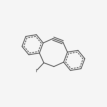 IC1Cc2ccccc2C#Cc2ccccc21